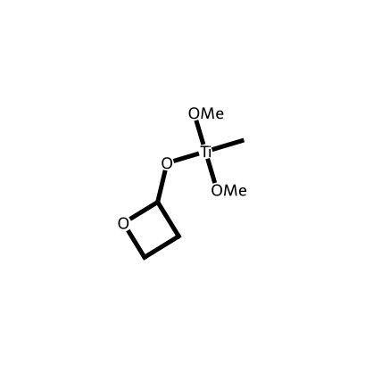 C[O][Ti]([CH3])([O]C)[O]C1CCO1